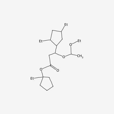 CCOC(C)OC(CC(=O)OC1(CC)CCCC1)C1CC(CC)CC1CC